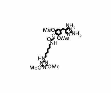 COc1nc(NCCCCCCNC(=O)COc2c(OC)cc(Cc3cnc(N)nc3N)cc2OC)nc(OC)n1